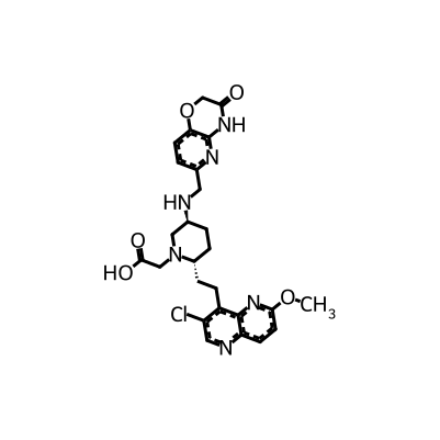 COc1ccc2ncc(Cl)c(CC[C@H]3CC[C@H](NCc4ccc5c(n4)NC(=O)CO5)CN3CC(=O)O)c2n1